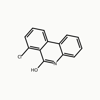 Oc1nc2ccccc2c2cccc(Cl)c12